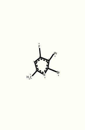 Cc1cc(F)c(C(C)C)c(Br)n1